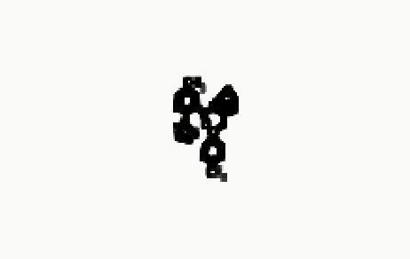 Cc1ccc(-c2nccs2)c(C(=O)N2C(COc3ccc(C(F)(F)F)cc3)CC3CC2C3)c1